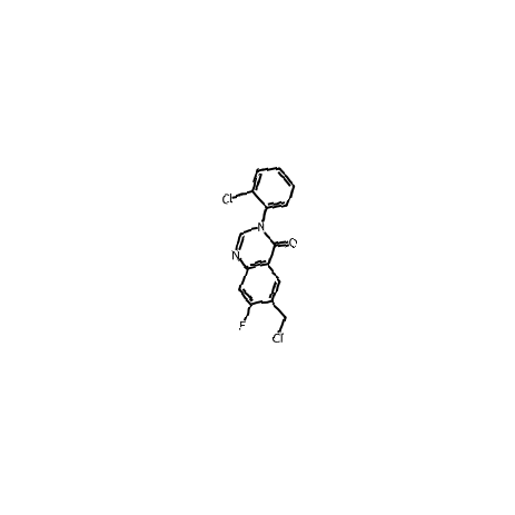 O=c1c2cc(CCl)c(F)cc2ncn1-c1ccccc1Cl